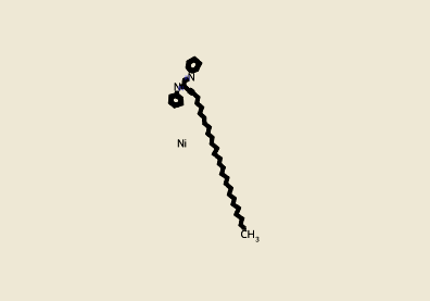 CCCCCCCCCCCCCCCCCCCCCCCCCCCCC#CC(/C=N/c1ccccc1)=N\c1ccccc1.[Ni]